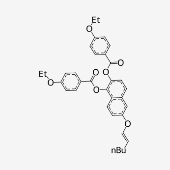 CCCCC=COc1ccc2c(OC(=O)c3ccc(OCC)cc3)c(OC(=O)c3ccc(OCC)cc3)ccc2c1